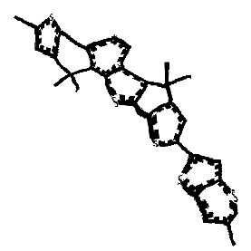 Cc1cc2c(s1)-c1ccc3c4c(sc3c1C2(C)C)-c1sc(-c2cc3sc(C)cc3s2)cc1C4(C)C